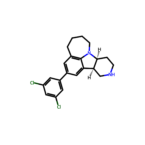 Clc1cc(Cl)cc(-c2cc3c4c(c2)[C@@H]2CNCC[C@@H]2N4CCCC3)c1